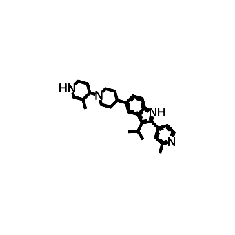 Cc1cc(-c2[nH]c3ccc(C4CCN(C5CCNCC5C)CC4)cc3c2C(C)C)ccn1